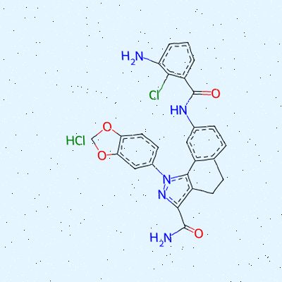 Cl.NC(=O)c1nn(-c2ccc3c(c2)OCO3)c2c1CCc1ccc(NC(=O)c3cccc(N)c3Cl)cc1-2